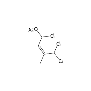 CC(=O)OC(Cl)C=C(C)C(Cl)Cl